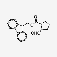 O=C[C@@H]1CCCN1C(=O)OCC1c2ccccc2-c2ccccc21